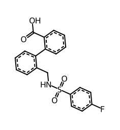 O=C(O)c1ccccc1-c1ccccc1CNS(=O)(=O)c1ccc(F)cc1